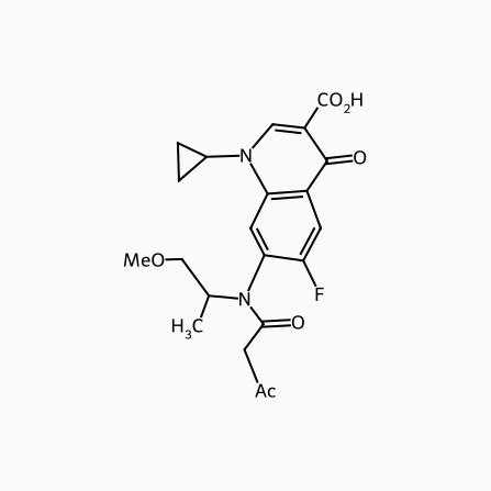 COCC(C)N(C(=O)CC(C)=O)c1cc2c(cc1F)c(=O)c(C(=O)O)cn2C1CC1